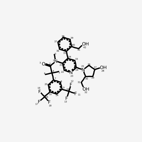 CN(C(=O)C(C)(C)c1cc(C(F)(F)F)cc(C(F)(F)F)c1)c1cnc(N2CC(O)CC2CO)cc1-c1ccccc1CO